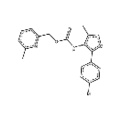 Cc1cccc(COC(=O)Nc2c(C)noc2-c2ccc(Br)cc2)n1